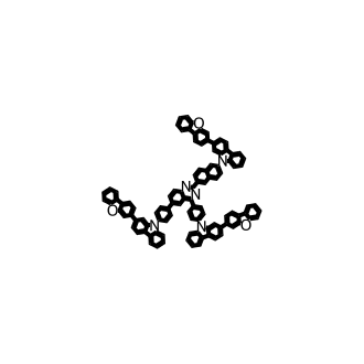 c1ccc2c(c1)oc1cc(-c3ccc4c5ccccc5n(-c5ccc(-c6ccc7nc(-c8ccc9cc(-n%10c%11ccccc%11c%11ccc(-c%12ccc%13c(c%12)oc%12ccccc%12%13)cc%11%10)ccc9c8)nc(-c8ccc(-n9c%10ccccc%10c%10ccc(-c%11ccc%12c(c%11)oc%11ccccc%11%12)cc%109)cc8)c7c6)cc5)c4c3)ccc12